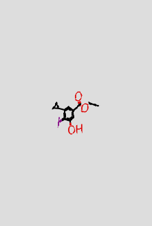 CCOC(=O)c1cc(O)c(I)c(C2CC2)c1